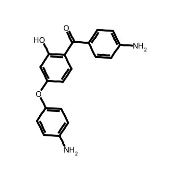 Nc1ccc(Oc2ccc(C(=O)c3ccc(N)cc3)c(O)c2)cc1